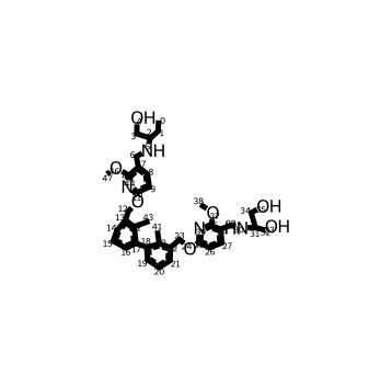 CCC(CO)NCc1ccc(OCc2cccc(-c3cccc(COc4ccc(CNC(CO)CO)c(OC)n4)c3C)c2C)nc1OC